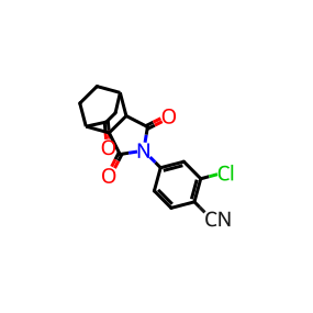 N#Cc1ccc(N2C(=O)C3C4CCC(C(=O)C4)C3C2=O)cc1Cl